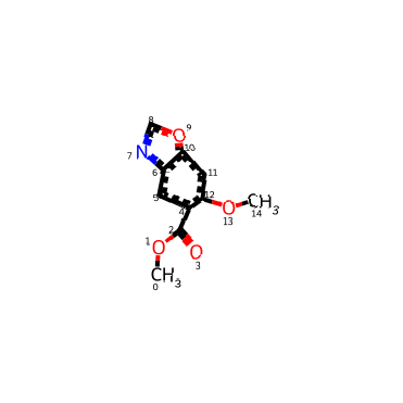 COC(=O)c1cc2ncoc2cc1OC